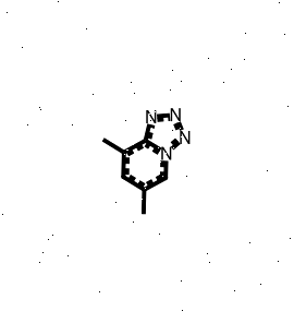 Cc1cc(C)c2nnnn2c1